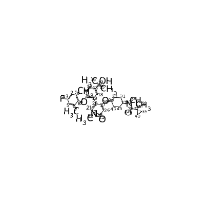 Cc1cc(F)cc(C)c1Oc1ccc(C(C)(C)O)cc1-c1cn(C)c(=O)cc1OC1CCC(N(C)C(=O)C2(C)CC2)CC1